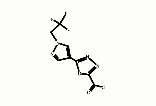 O=C(Cl)c1nnc(-c2cnn(CC(F)(F)F)c2)o1